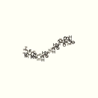 Cn1ncc(-c2nc(NC3CCC(NCC(=O)NCCCCNCC(=O)NCc4scc5c4C(=O)N(C4CCC(=O)NC4=O)C5=O)CC3)ncc2F)c1CC1CC1